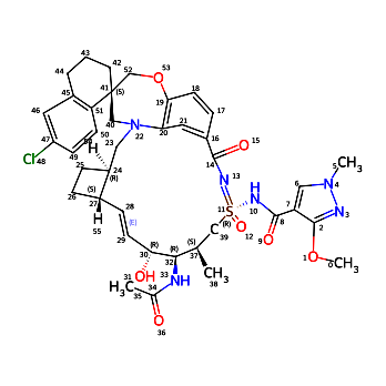 COc1nn(C)cc1C(=O)N[S@@]1(=O)=NC(=O)c2ccc3c(c2)N(C[C@@H]2CC[C@H]2/C=C/[C@@H](O)[C@H](NC(C)=O)[C@H](C)C1)C[C@@]1(CCCc2cc(Cl)ccc21)CO3